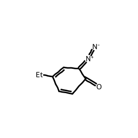 CCC1=CC(=[N+]=[N-])C(=O)C=C1